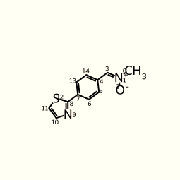 C[N+]([O-])=Cc1ccc(-c2nccs2)cc1